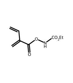 C=CC(=C)C(=O)ONC(=O)OCC